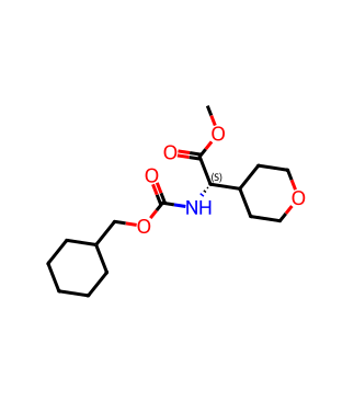 COC(=O)[C@@H](NC(=O)OCC1CCCCC1)C1CCOCC1